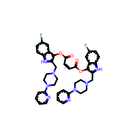 O=C(/C=C\C(=O)Oc1c(CN2CCN(c3ccccn3)CC2)[nH]c2ccc(F)cc12)Oc1c(CN2CCN(c3ccccn3)CC2)[nH]c2ccc(F)cc12